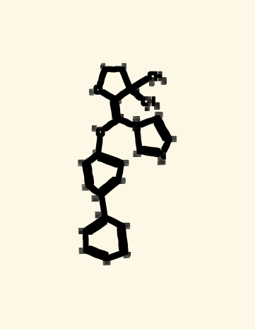 CC1(C)CCOC1=C(Oc1ccc(-c2ccccc2)cc1)n1ccnc1